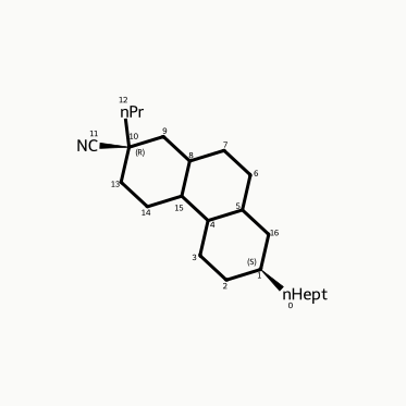 CCCCCCC[C@H]1CCC2C(CCC3C[C@@](C#N)(CCC)CCC32)C1